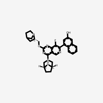 Oc1cc(-c2ncc3c(N4C[C@H]5CC[C@@H](C4)N5)nc(OC[C@@H]4CC5CCN4C5)nc3c2F)c2ccccc2c1